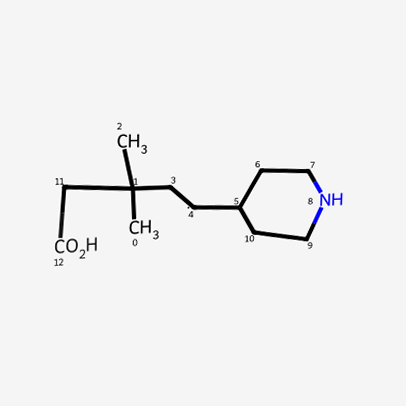 CC(C)(C[CH]C1CCNCC1)CC(=O)O